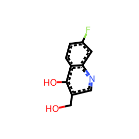 OCc1cnc2cc(F)ccc2c1O